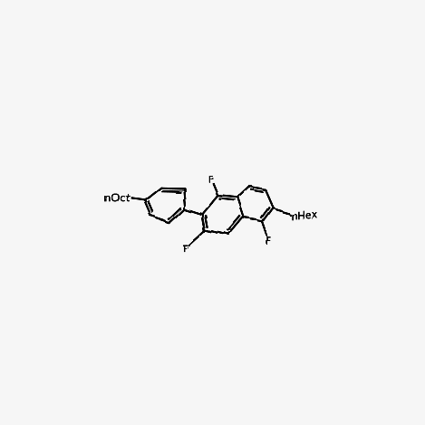 CCCCCCCCc1ccc(-c2c(F)cc3c(F)c(CCCCCC)ccc3c2F)cc1